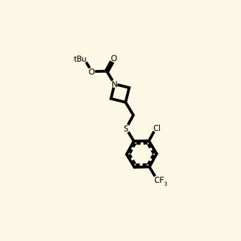 CC(C)(C)OC(=O)N1CC(CSc2ccc(C(F)(F)F)cc2Cl)C1